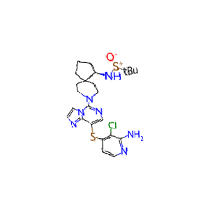 CC(C)(C)[S+]([O-])N[C@@H]1CCCC12CCN(c1ncc(Sc3ccnc(N)c3Cl)c3nccn13)CC2